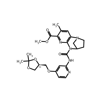 COC(=O)c1nc2c(cc1C)N1CCC(C1)N2C(=O)Nc1cc(OC[C@H]2COC(C)(C)O2)ccn1